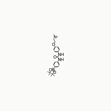 CN(C)CCOc1ccc(NC(=O)Nc2ccc(B3OC(C)(C)C(C)(C)O3)cc2)cc1